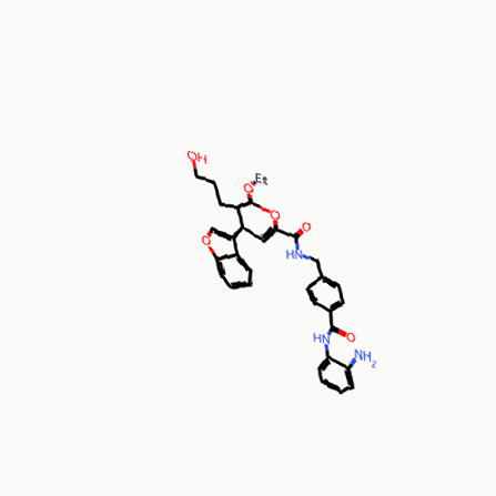 CCOC1OC(C(=O)NCc2ccc(C(=O)Nc3ccccc3N)cc2)=CC(c2coc3ccccc23)C1CCCO